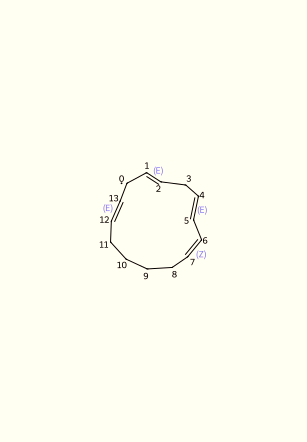 [CH]1/C=C/C/C=C/C=C\CCCC/C=C/1